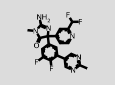 Cc1ncc(-c2cc(C3(c4ccnc(C(F)F)c4)N=C(N)N(C)C3=O)cc(F)c2F)cn1